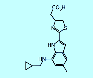 Cc1cc(NCC2CC2)c2[nH]c(C3=NC(CC(=O)O)CS3)cc2c1